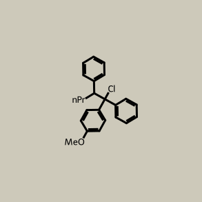 CCCC(c1ccccc1)C(Cl)(c1ccccc1)c1ccc(OC)cc1